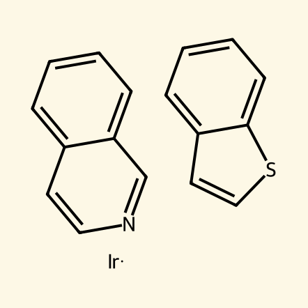 [Ir].c1ccc2cnccc2c1.c1ccc2sccc2c1